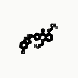 CCOc1cccc(OCC)c1C(=O)N1CCC(Nc2nc3ccc(Cl)cc3o2)C1